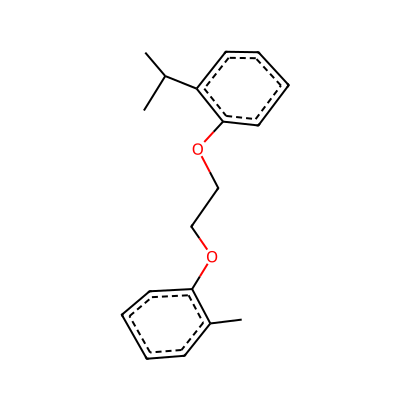 Cc1ccccc1OCCOc1ccccc1C(C)C